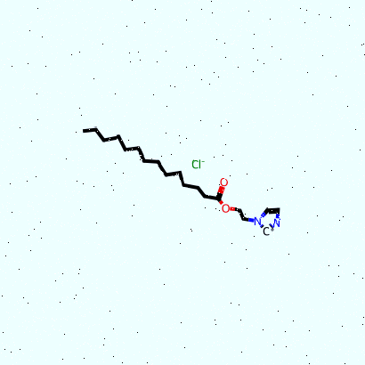 CCCCCCCCCCCCCC(=O)OCCN1[C+]=NC=C1.[Cl-]